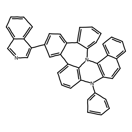 c1ccc(N2c3cccc4c3N(c3ccccc3-c3ccc(-c5cncc6ccccc56)cc3-4)c3c2ccc2ccccc32)cc1